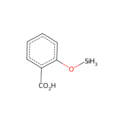 O=C(O)c1ccccc1O[SiH3]